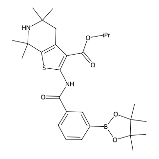 CC(C)OC(=O)c1c(NC(=O)c2cccc(B3OC(C)(C)C(C)(C)O3)c2)sc2c1CC(C)(C)NC2(C)C